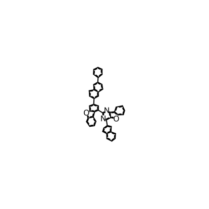 c1ccc(-c2ccc3cc(-c4cc(-c5nc(-c6ccc7ccccc7c6)c6oc7ccccc7c6n5)c5c(c4)oc4ccccc45)ccc3c2)cc1